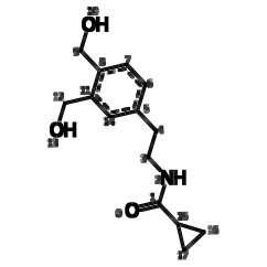 O=C(NCCc1ccc(CO)c(CO)c1)C1CC1